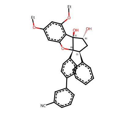 CCOc1cc(OCC)c2c(c1)O[C@@]1(c3ccc(-c4cccc(C#N)c4)cc3)[C@H](c3ccccc3)C[C@@H](O)[C@@]21O